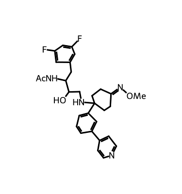 CON=C1CCC(NCC(O)C(Cc2cc(F)cc(F)c2)NC(C)=O)(c2cccc(-c3ccncc3)c2)CC1